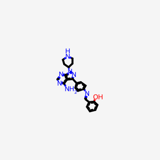 Nc1ncnc2c1c(-c1ccc(N=Cc3ccccc3O)cc1)nn2C1CCNCC1